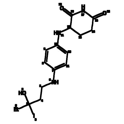 CCC(O)(I)CCNc1ccc(NC2CCC(=O)NC2=O)cc1